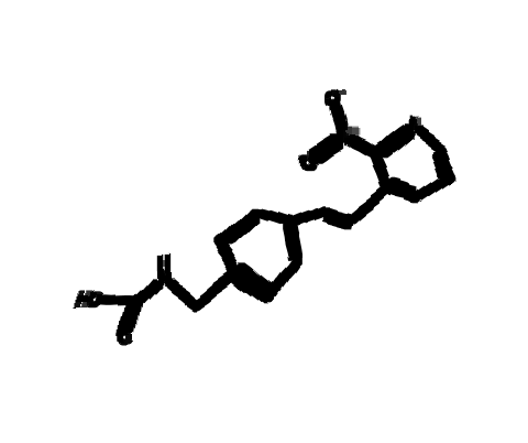 O=C(O)NCc1ccc(/C=C/c2cccnc2[N+](=O)[O-])cc1